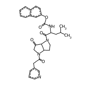 CC(C)CC(NC(=O)Oc1ccc2ccccc2c1)C(=O)N1CCC2C1C(=O)CN2C(=O)Cc1cccnc1